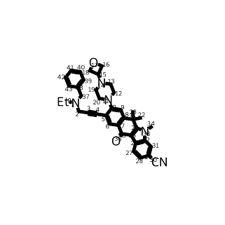 CCN(CC#Cc1cc2c(cc1N1CCN(C3COC3)CC1)C(C)(C)c1c(c3ccc(C#N)cc3n1C)C2=O)Cc1ccccc1